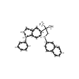 OC(CSc1ccc2ccccc2c1)(c1ccc2c(cnn2-c2ccccc2)c1)C(F)(F)F